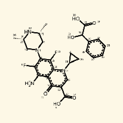 C[C@@H]1CN(c2c(F)c(N)c3c(=O)c(C(=O)O)cn(C4CC4)c3c2F)C[C@H](C)N1.O=C(O)C(O)c1ccccc1